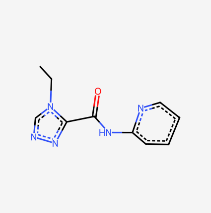 CCn1cnnc1C(=O)Nc1ccccn1